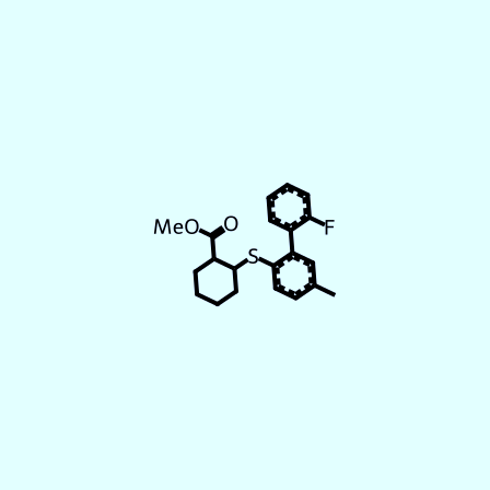 COC(=O)C1CCCCC1Sc1ccc(C)cc1-c1ccccc1F